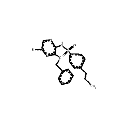 CCCc1ccc(S(=O)(=O)Nc2ncc(Br)nc2OCc2ccccc2)cc1